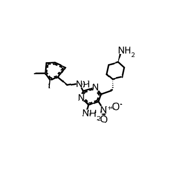 Cc1cccc(CNc2nc(N)c([N+](=O)[O-])c(C[C@H]3CC[C@H](N)CC3)n2)c1C